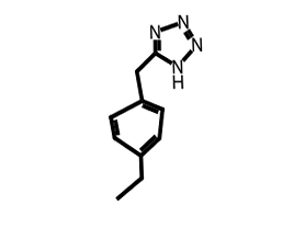 CCc1ccc(Cc2nnn[nH]2)cc1